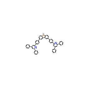 c1ccc(-c2cc(-c3ccccc3)nc(-c3ccc(-c4ccc5sc6ccc(-c7ccc(-c8cc(-c9ccccc9)cc(-c9ccccc9)n8)cc7)cc6c5c4)cc3)c2)cc1